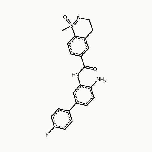 CS1(=O)=NCCc2cc(C(=O)Nc3cc(-c4ccc(F)cc4)ccc3N)ccc21